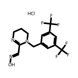 Cl.O/N=C/C1=NCCCN1Cc1cc(C(F)(F)F)cc(C(F)(F)F)c1